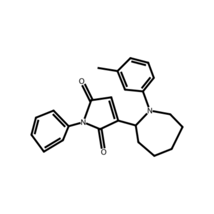 Cc1cccc(N2CCCCCC2C2=CC(=O)N(c3ccccc3)C2=O)c1